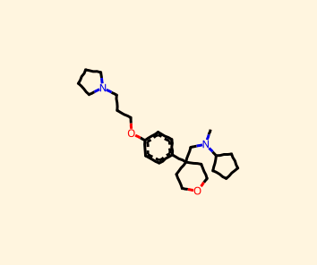 CN(CC1(c2ccc(OCCCN3CCCC3)cc2)CCOCC1)C1CCCC1